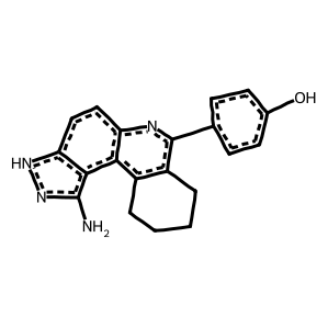 Nc1n[nH]c2ccc3nc(-c4ccc(O)cc4)c4c(c3c12)CCCC4